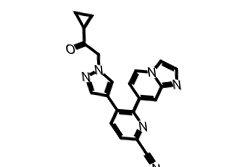 N#Cc1ccc(-c2cnn(CC(=O)C3CC3)c2)c(-c2ccn3ccnc3c2)n1